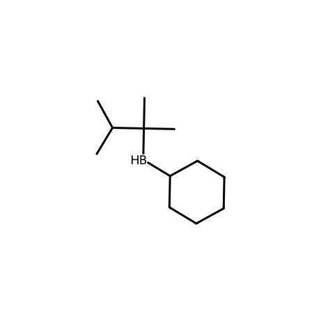 CC(C)C(C)(C)BC1CCCCC1